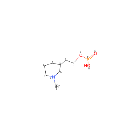 CC(C)N1CCCC(CCO[PH](=O)O)C1